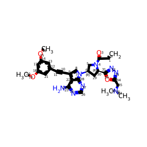 C=CC(=O)N1C[C@H](n2cc(C#Cc3cc(OC)cc(OC)c3)c3c(N)ncnc32)C[C@@H]1c1nnc(CN(C)C)o1